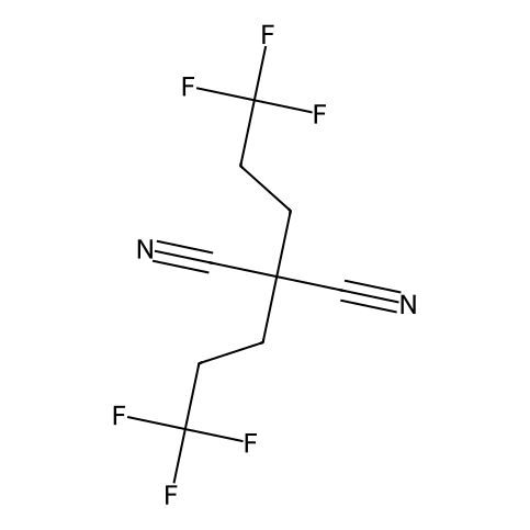 N#CC(C#N)(CCC(F)(F)F)CCC(F)(F)F